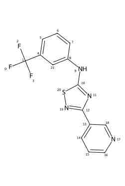 FC(F)(F)c1cccc(Nc2nc(-c3cccnc3)ns2)c1